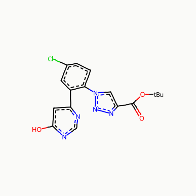 CC(C)(C)OC(=O)c1cn(-c2ccc(Cl)cc2-c2cc(O)ncn2)nn1